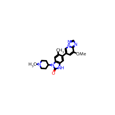 COc1cc(-c2cc3[nH]c(=O)n(C4CCN(C)CC4)c3cc2C)cn2ncnc12